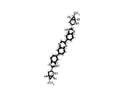 C[C@@H]1[C@@H]2C[C@@H](c3nc4ccc(-c5ccc6nc(-c7ccc8nc([C@@H]9C[C@H]%10[C@@H](C)[C@H]%10N9)[nH]c8c7)cnc6c5)cc4[nH]3)N[C@H]12